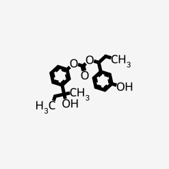 CCC(OC(=O)Oc1cccc(C(C)(O)CC)c1)c1cccc(O)c1